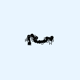 Cn1cc(CNCC(=O)N2CCCC(c3cccc(C(=O)N[C@@H](C(=O)N4CCC(CN5CCN(CC(=O)N6CCN(C(=O)c7cc(Cc8n[nH]c(=O)c9ccccc89)ccc7F)CC6)CC5)CC4)C4CCCCC4)c3)C2)cn1